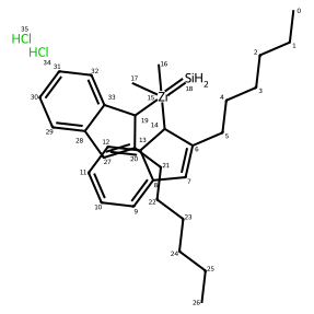 CCCCCCC1=Cc2ccccc2[CH]1[Zr]([CH3])([CH3])(=[SiH2])[CH]1C(CCCCCC)=Cc2ccccc21.Cl.Cl